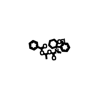 CC(OC(=O)c1ccccc1)OC(=O)N(C)[C@]1(c2ccccc2Cl)CCCCC1=O